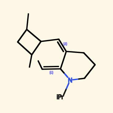 C/C=C1\C(=C/C2C(C)CC2C)CCCN1C(C)C